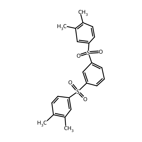 Cc1ccc(S(=O)(=O)c2cccc(S(=O)(=O)c3ccc(C)c(C)c3)c2)cc1C